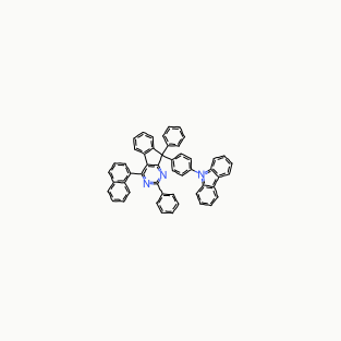 c1ccc(-c2nc(-c3cccc4ccccc34)c3c(n2)C(c2ccccc2)(c2ccc(-n4c5ccccc5c5ccccc54)cc2)c2ccccc2-3)cc1